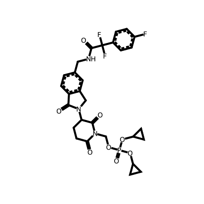 O=C1CCC(N2Cc3cc(CNC(=O)C(F)(F)c4ccc(F)cc4)ccc3C2=O)C(=O)N1COP(=O)(OC1CC1)OC1CC1